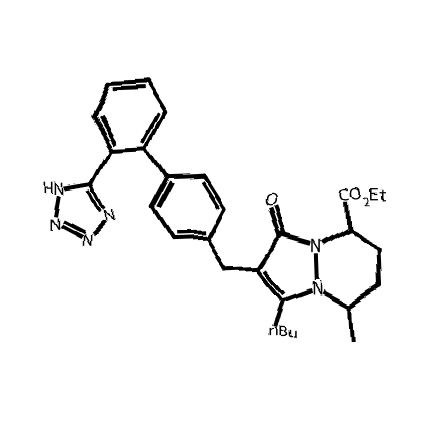 CCCCc1c(Cc2ccc(-c3ccccc3-c3nnn[nH]3)cc2)c(=O)n2n1C(C)CCC2C(=O)OCC